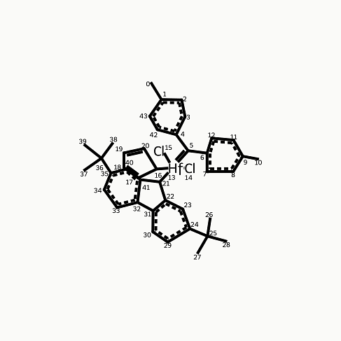 Cc1ccc([C](c2ccc(C)cc2)=[Hf]([Cl])([Cl])([CH]2C=CC=C2)[CH]2c3cc(C(C)(C)C)ccc3-c3ccc(C(C)(C)C)cc32)cc1